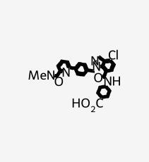 CNC(=O)c1cccc(-c2ccc(Cn3ncc4c(Cl)ccc(C(=O)NC5CCC(C(=O)O)CC5)c43)cc2)n1